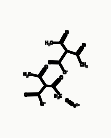 CC(=O)C(C(C)=O)C(=O)[O-].CC(=O)C(C(C)=O)C(=O)[O-].[O]=[V+2]